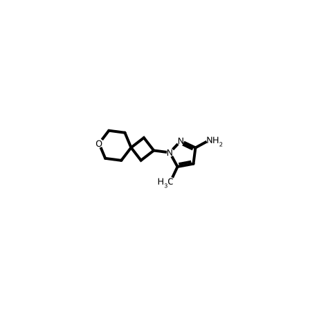 Cc1cc(N)nn1C1CC2(CCOCC2)C1